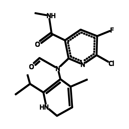 CNC(=O)c1cc(F)c(Cl)nc1N(C=O)C1=C(C(C)C)NCC=C1C